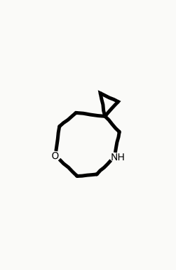 C1COCCC2(CC2)CN1